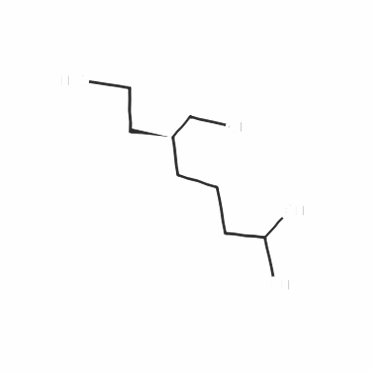 CCC[C@@H](CO)CCCC(C)C